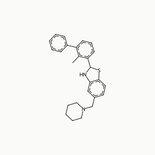 Cc1c(-c2ccccc2)cccc1C1Nc2cc(CN3CCCCC3)ccc2S1